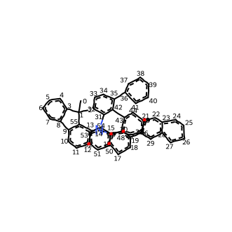 CC1(C)c2ccccc2-c2cccc(N(c3cccc(-c4ccc5ccccc5c4)c3)c3cccc(-c4ccccc4)c3-c3ccccc3-c3ccccc3)c21